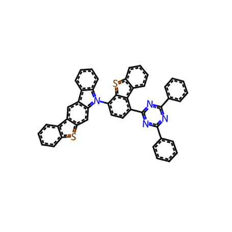 c1ccc(-c2nc(-c3ccccc3)nc(-c3ccc(-n4c5ccccc5c5cc6c(cc54)sc4ccccc46)c4sc5ccccc5c34)n2)cc1